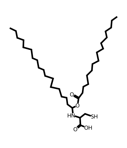 CCCCCCCCCCCCCCCCCC(NC(CS)C(=O)O)OC(=O)CCCCCCCCCCCCCCC